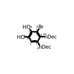 CCCCCCCCCCc1cc(O)c(O)c(Br)c1CCCCCCCCCC